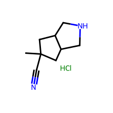 CC1(C#N)CC2CNCC2C1.Cl